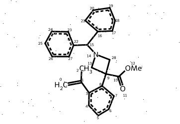 C=C(C)c1ccccc1C1(C(=O)OC)CN(C(c2ccccc2)c2ccccc2)C1